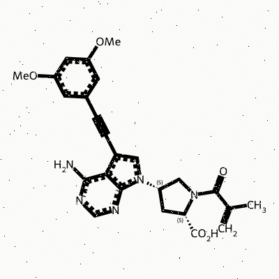 C=C(C)C(=O)N1C[C@@H](n2cc(C#Cc3cc(OC)cc(OC)c3)c3c(N)ncnc32)C[C@H]1C(=O)O